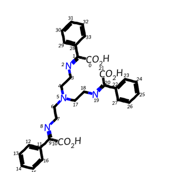 O=C(O)C(=NCCN(CCN=C(C(=O)O)c1ccccc1)CCN=C(C(=O)O)c1ccccc1)c1ccccc1